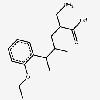 CCOc1ccccc1C(C)C(C)CC(CN)C(=O)O